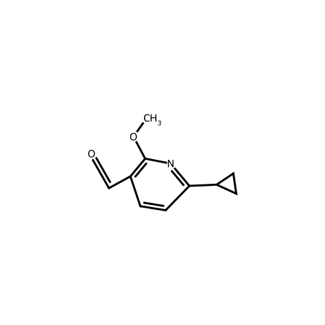 COc1nc(C2CC2)ccc1C=O